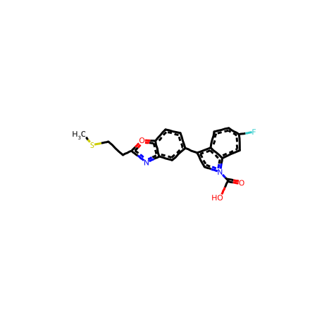 CSCCc1nc2cc(-c3cn(C(=O)O)c4cc(F)ccc34)ccc2o1